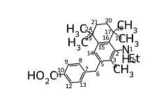 CCNc1c(C)c(Cc2ccc(C(=O)O)cc2)cc2c1C(C)(C)CCC2(C)C